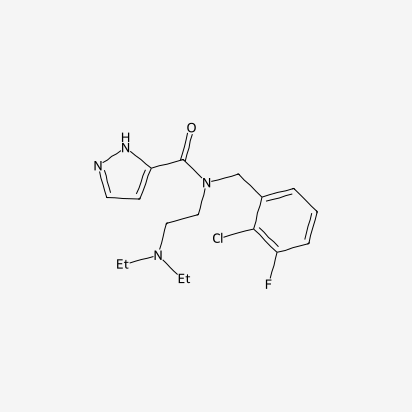 CCN(CC)CCN(Cc1cccc(F)c1Cl)C(=O)c1ccn[nH]1